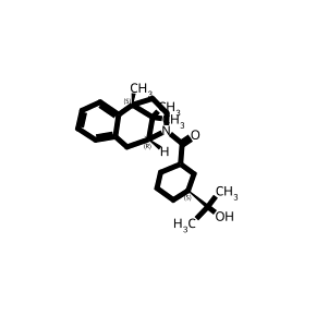 CC(C)(O)[C@H]1CCCC(C(=O)N2CC[C@@]3(C)c4ccccc4C[C@@H]2C3(C)C)C1